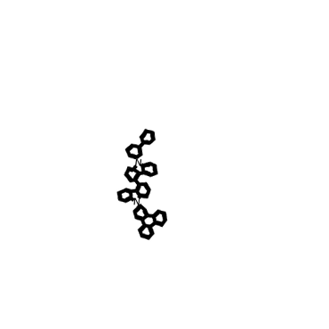 c1ccc(-c2cccc(-n3c4ccccc4c4c(-c5cccc6c5c5ccccc5n6-c5ccc6c7ccccc7c7ccccc7c6c5)cccc43)c2)cc1